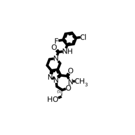 CN1O[C@H](CO)Cn2nc3c(c2C1=O)CN(C(=O)Nc1cc(Cl)ccc1F)CC3